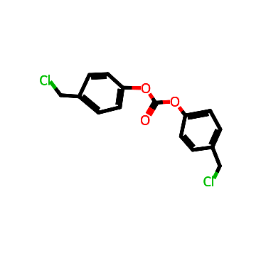 O=C(Oc1ccc(CCl)cc1)Oc1ccc(CCl)cc1